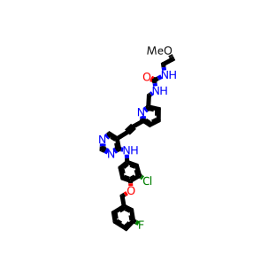 COCCNC(=O)NCc1cccc(C#Cc2cncnc2Nc2ccc(OCc3cccc(F)c3)c(Cl)c2)n1